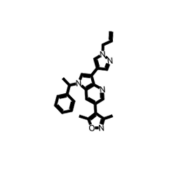 C=CCn1cc(-c2cn(C(C)c3ccccc3)c3cc(-c4c(C)noc4C)cnc23)cn1